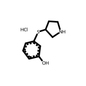 Cl.Oc1cccc(SC2CCNC2)c1